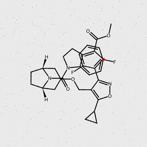 COC(=O)c1cccc2c1CCN2C(=O)N1[C@@H]2CC[C@H]1CC(OCc1c(-c3c(F)cccc3F)noc1C1CC1)C2